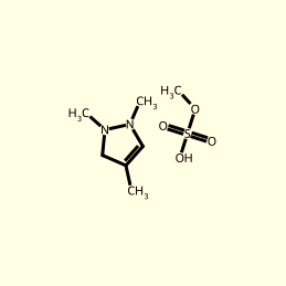 CC1=CN(C)N(C)C1.COS(=O)(=O)O